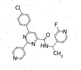 CC(NC(=O)c1cc(-c2ccc(Cl)cc2)nc(-c2ccncc2)n1)c1ccnc(F)c1